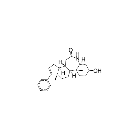 C[C@]12CC[C@H](O)C[C@@H]1NC(=O)C[C@@H]1[C@@H]2CC[C@]2(C)C(c3ccccc3)=CC[C@@H]12